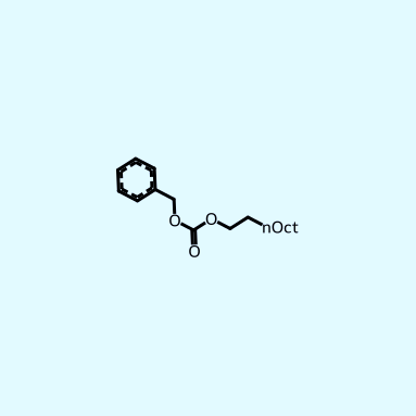 CCCCCCCCCCOC(=O)OCc1ccccc1